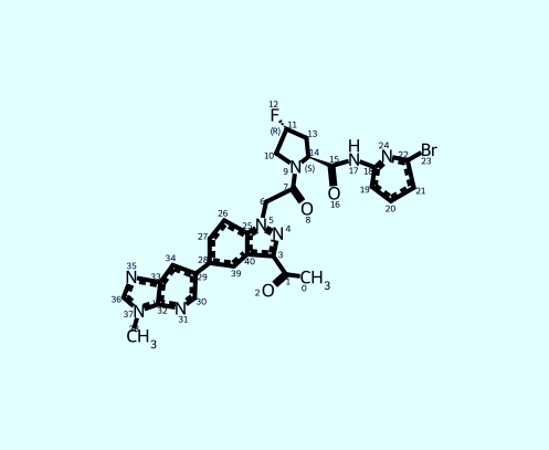 CC(=O)c1nn(CC(=O)N2C[C@H](F)C[C@H]2C(=O)Nc2cccc(Br)n2)c2ccc(-c3cnc4c(c3)ncn4C)cc12